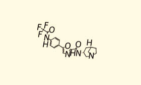 O=C(N[C@@H]1C[C@H]2CCN(C2)C1)c1ncc(-c2ccc(NC(=O)C(F)(F)F)cc2)o1